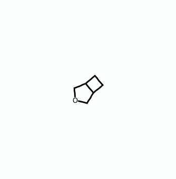 C1CC2COCC12